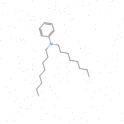 CCCCCCCCN(CCCCCCCC)c1[c]cccc1